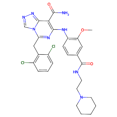 COc1cc(C(=O)NCCN2CCCCC2)ccc1Nc1nc(Cc2c(Cl)cccc2Cl)n2cnnc2c1C(N)=O